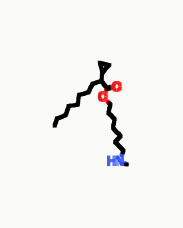 CCCCCCCCC(C(=O)OCCCCCCCNC)C1CC1